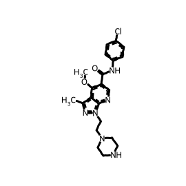 COc1c(C(=O)Nc2ccc(Cl)cc2)cnc2c1c(C)nn2CCN1CCNCC1